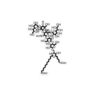 CCCCCCCCCCCCC/C=C/[C@@H](O)[C@H](CO[C@@H]1OC(CO)[C@@H](O[C@@H]2OC(CO)[C@H](O[C@@H]3OC(CO[C@]4(C(=O)O)CC(O)[C@@H](O)C([C@H](O)[C@H](O)CO)O4)[C@H](O)[C@H](O[C@@H]4OC(CO)[C@H](O)[C@H](O[C@]5(C(=O)O)CC(O)[C@@H](O)C([C@H](O)[C@H](O)CO)O5)C4O)C3NC(C)=O)[C@H](O)C2O)[C@H](O)C1O)NC(=O)CCCCCCCCCCCCCCCCCCCCC